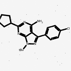 CC(C)(C)n1nc(-c2ccc(Cl)cc2)c2c(N)nc(C3CCCC3)nc21